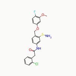 COc1cc(OCc2ccc(NC(=O)Cc3ccccc3Cl)cc2SN)ccc1F